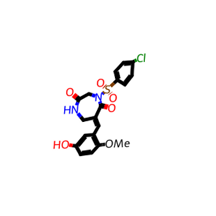 COc1ccc(O)cc1C=C1CNC(=O)CN(S(=O)(=O)c2ccc(Cl)cc2)C1=O